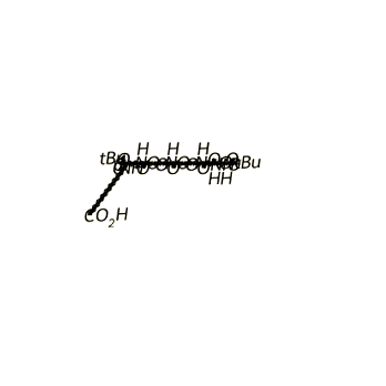 CC(C)(C)OC(=O)NOCCNC(=O)CCC(=O)NCCOCCOCCC(=O)NCCOCCOCCC(=O)NCCCCC(NC(=O)CCCCCCCCCCCCCCCCC(=O)O)C(=O)OC(C)(C)C